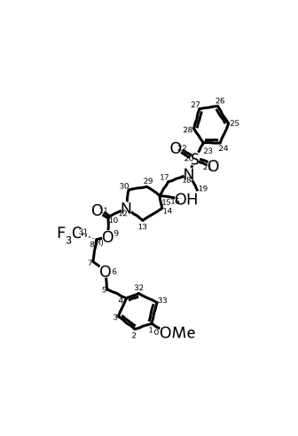 COc1ccc(COC[C@@H](OC(=O)N2CCC(O)(CN(C)S(=O)(=O)c3ccccc3)CC2)C(F)(F)F)cc1